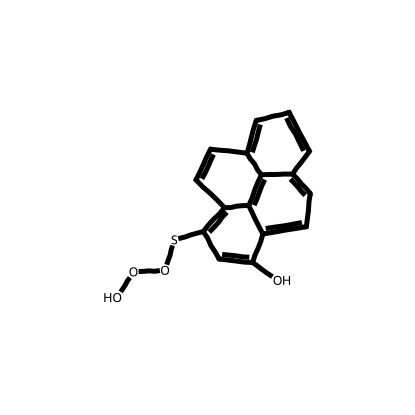 OOOSc1cc(O)c2ccc3cccc4ccc1c2c34